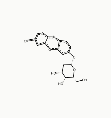 O=c1ccc2nc3ccc(O[C@H]4C[C@@H](O)[C@@H](O)[C@@H](CO)O4)cc3oc-2c1